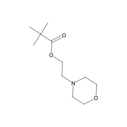 CC(C)(C)C(=O)OCCN1CCOCC1